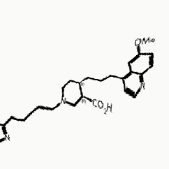 COc1ccc2nccc(CCC[C@@H]3CCN(CCCCc4ncco4)C[C@@H]3C(=O)O)c2c1